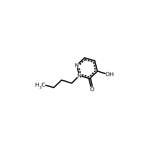 CCCCn1nccc(O)c1=O